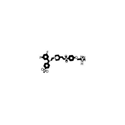 CS(=O)(=O)c1ccc([C@@H](CCN2CCC(CCS(=O)(=O)c3ccc(OCc4nnn[nH]4)cc3)CC2)c2cc(F)cc(F)c2)cc1